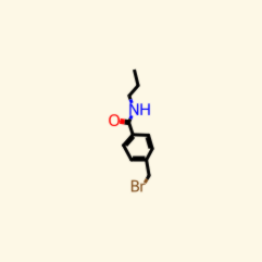 CCCNC(=O)c1ccc(CBr)cc1